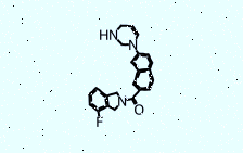 O=C(c1ccc2ccc(N3C=CCNC3)cc2c1)N1Cc2cccc(F)c2C1